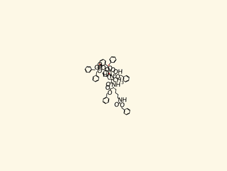 CC(Cc1ccc(OP(=O)(OCc2ccccc2)OCc2ccccc2)c(OCc2ccccc2)c1)(C(=O)N[C@@H](CCCCNC(=O)OCc1ccccc1)C(=O)OCc1ccccc1)N(NC(=O)OCc1ccccc1)C(O)OCc1ccccc1